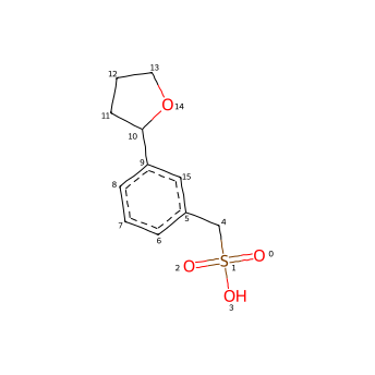 O=S(=O)(O)Cc1cccc(C2CCCO2)c1